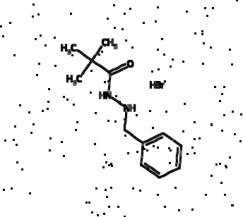 Br.CC(C)(C)C(=O)NNCc1ccccc1